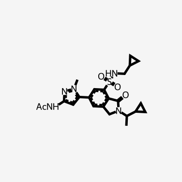 CC(=O)Nc1cc(-c2cc3c(c(S(=O)(=O)NCC4CC4)c2)C(=O)N(C(C)C2CC2)C3)n(C)n1